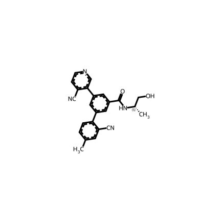 Cc1ccc(-c2cc(C(=O)N[C@@H](C)CO)cc(-c3cnccc3C#N)c2)c(C#N)c1